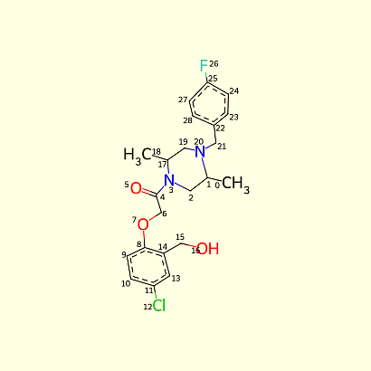 CC1CN(C(=O)COc2ccc(Cl)cc2CO)C(C)CN1Cc1ccc(F)cc1